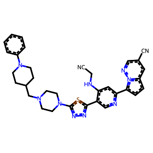 N#CCNc1cc(-c2ccc3cc(C#N)cnn23)ncc1-c1nnc(N2CCN(CC3CCN(c4ccccc4)CC3)CC2)s1